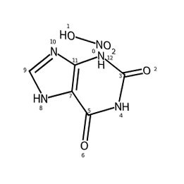 O=[N+]([O-])O.O=c1[nH]c(=O)c2[nH]cnc2[nH]1